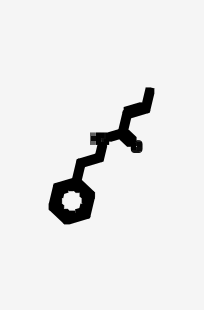 CC=CC(=O)NCCc1ccccc1